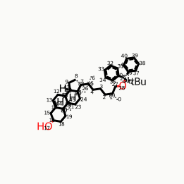 C[C@H](CCC[C@@H](C)[C@H]1CC[C@H]2[C@@H]3CC=C4CC(O)CC[C@]4(C)[C@H]3CC[C@]12C)CO[Si](c1ccccc1)(c1ccccc1)C(C)(C)C